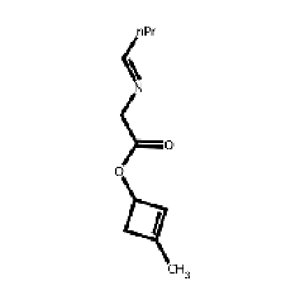 CCCC=NCC(=O)OC1C=C(C)C1